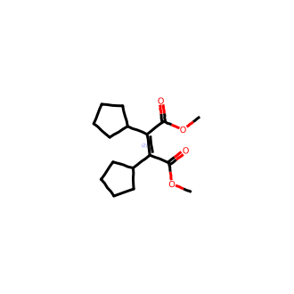 COC(=O)/C(=C(\C(=O)OC)C1CCCC1)C1CCCC1